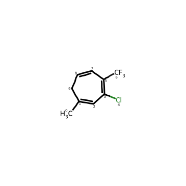 CC1=CC(Cl)=C(C(F)(F)F)C=CC1